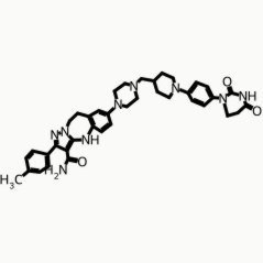 Cc1ccc(-c2nn3c(c2C(N)=O)Nc2ccc(N4CCN(CC5CCN(c6ccc(N7CCC(=O)NC7=O)cc6)CC5)CC4)cc2CC3)cc1